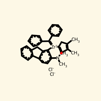 CC1=C(C)C[C]([Zr+2](=[C](c2ccccc2)c2ccccc2)[c]2c(N(C)C)ccc3c2Cc2ccccc2-3)=C1.[Cl-].[Cl-]